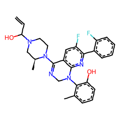 C=CC(O)N1CCN(C2=NCN(c3c(C)cccc3O)c3nc(-c4ccccc4F)c(F)cc32)[C@@H](C)C1